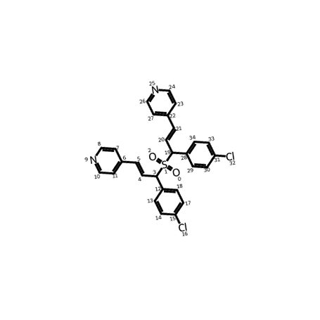 O=S(=O)(C(C=Cc1ccncc1)c1ccc(Cl)cc1)C(C=Cc1ccncc1)c1ccc(Cl)cc1